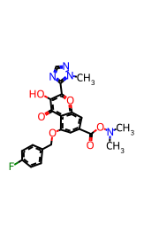 CN(C)OC(=O)c1cc(OCc2ccc(F)cc2)c2c(=O)c(O)c(-c3ncnn3C)oc2c1